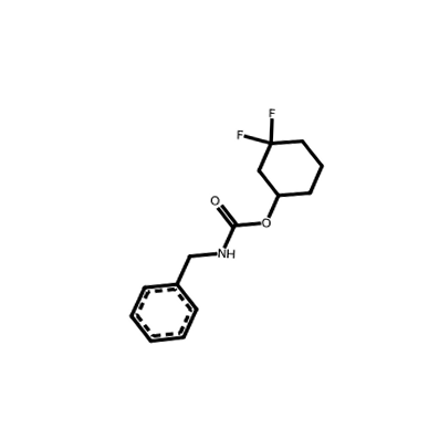 O=C(NCc1ccccc1)OC1CCCC(F)(F)C1